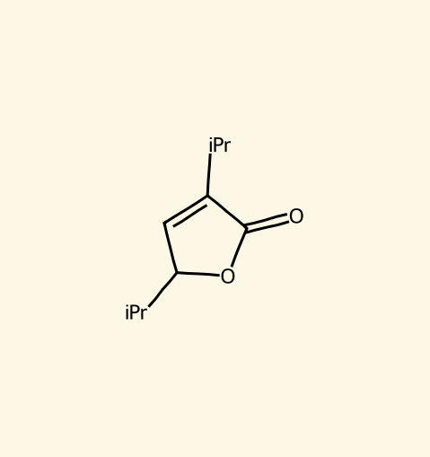 CC(C)C1=CC(C(C)C)OC1=O